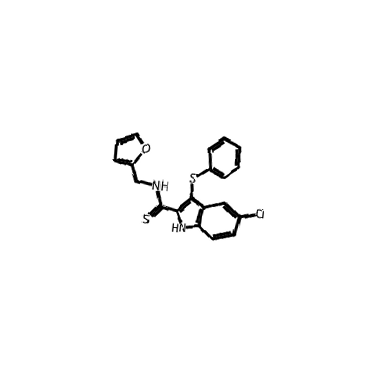 S=C(NCc1ccco1)c1[nH]c2ccc(Cl)cc2c1Sc1ccccc1